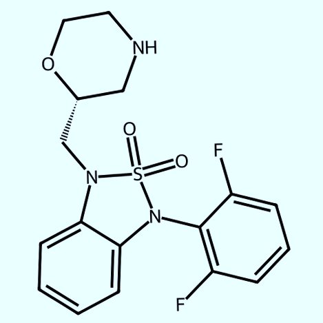 O=S1(=O)N(C[C@H]2CNCCO2)c2ccccc2N1c1c(F)cccc1F